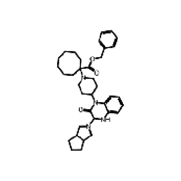 O=C1C(N2CC3CCCC3C2)Nc2ccccc2N1C1CCN(C2(C(=O)OCc3ccccc3)CCCCCCC2)CC1